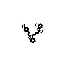 CN(C)c1ccc(/C=C/c2sc3ccccc3[n+]2CCCCC(=O)ON2C(=O)CCC2=O)cc1